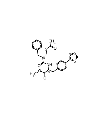 COC(=O)[C@H](Cc1ccc(-c2nccs2)cc1)NC(=O)[C@@H](CSC(C)=O)Cc1ccccc1